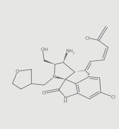 C=C(Cl)/C=C\C=C(/F)[C@H]1[C@H](N)[C@H](CO)N(CC2CCOC2)[C@@]12C(=O)Nc1cc(Cl)ccc12